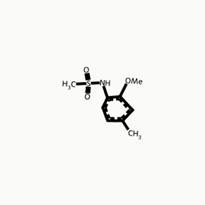 COc1cc(C)ccc1NS(C)(=O)=O